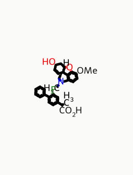 COc1ccc2c3c1O[C@H]1C[C@@H](O)C=C[C@@]31CCN(C)C2.C[C@@H](C(=O)O)c1ccc(-c2ccccc2)c(F)c1